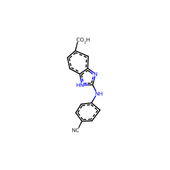 N#Cc1ccc(Nc2nc3cc(C(=O)O)ccc3[nH]2)cc1